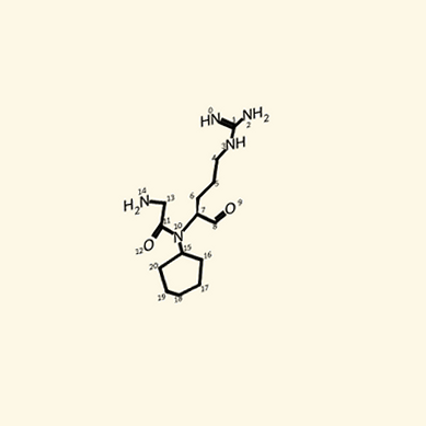 N=C(N)NCCC[C@@H](C=O)N(C(=O)CN)C1CCCCC1